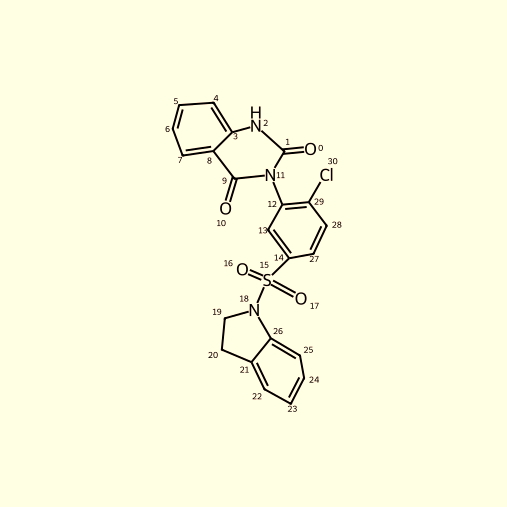 O=c1[nH]c2ccccc2c(=O)n1-c1cc(S(=O)(=O)N2CCc3ccccc32)ccc1Cl